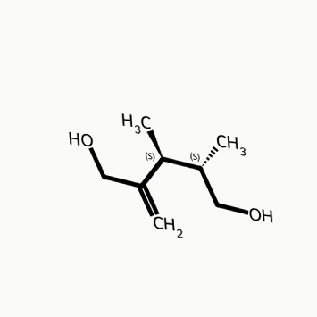 C=C(CO)[C@@H](C)[C@H](C)CO